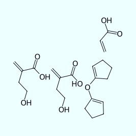 C1=C(OC2=CCCC2)CCC1.C=C(CCO)C(=O)O.C=C(CCO)C(=O)O.C=CC(=O)O